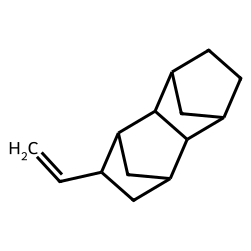 C=CC1CC2CC1C1C3CCC(C3)C21